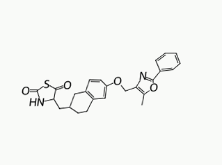 Cc1oc(-c2ccccc2)nc1COc1ccc2c(c1)CCC(CC1NC(=O)SC1=O)C2